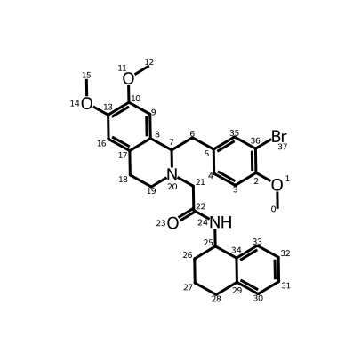 COc1ccc(CC2c3cc(OC)c(OC)cc3CCN2CC(=O)NC2CCCc3ccccc32)cc1Br